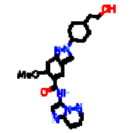 COc1cc2nn(C3CCC(CCO)CC3)cc2cc1C(=O)Nc1cnc2cccnn12